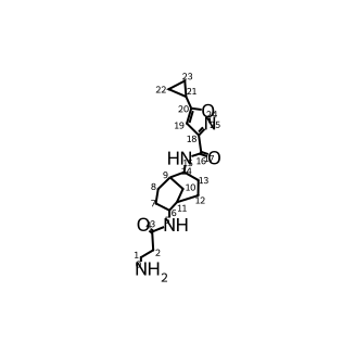 NCCC(=O)NC1CCC2CC1CCC2NC(=O)c1cc(C2CC2)on1